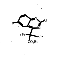 CCCC(CCC)(C(=O)OCC)c1nc(Cl)nc2ccc(I)cc12